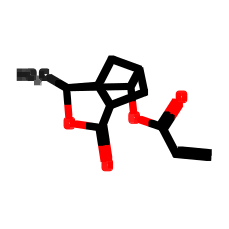 C=CC(=O)OC1C2CC3C(=O)OC1(C(=O)O)C3C2